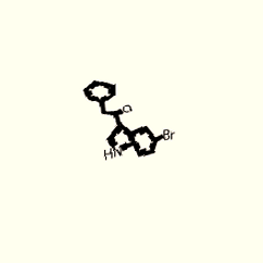 O=C(Cc1ccccc1)c1c[nH]c2ccc(Br)cc12